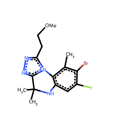 COCCc1nnc2n1-c1c(cc(F)c(Br)c1C)NC2(C)C